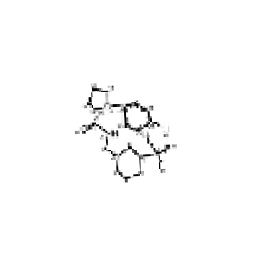 O=C(NCC1CCCC(C(F)(F)F)C1)[C@@H]1CCCN1c1ccc(Cl)cc1